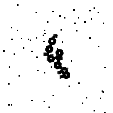 CC(C)N1CCC(c2ccc(Nc3nccc(-c4c(-c5cccc(NC(=O)c6c(F)cccc6F)c5)nc5ccccn45)n3)cc2)CC1